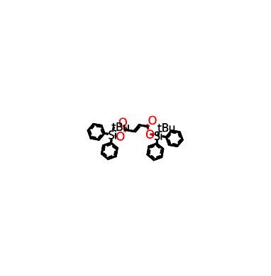 CC(C)(C)[Si](OC(=O)C=CC(=O)O[Si](c1ccccc1)(c1ccccc1)C(C)(C)C)(c1ccccc1)c1ccccc1